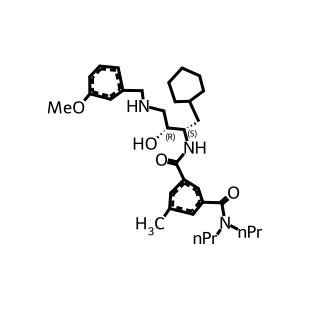 CCCN(CCC)C(=O)c1cc(C)cc(C(=O)N[C@@H](CC2CCCCC2)[C@H](O)CNCc2cccc(OC)c2)c1